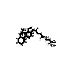 C[C@@H](CCC(=O)NCCS(=O)(=O)O)[C@@H]1CC[C@@H]2[C@H]3[C@H](O)CC4CCCC[C@@]4(C)[C@@H]3CC[C@]21C